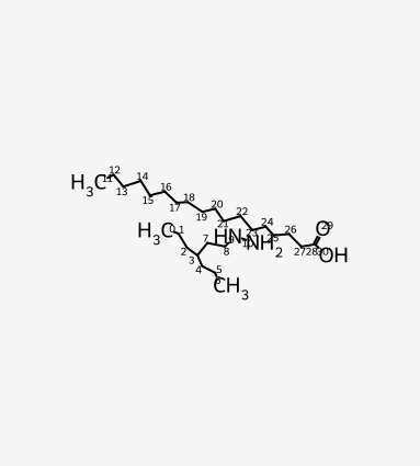 CCCC(CCC)CCNN.CCCCCCCCCCCCCCCCCC(=O)O